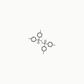 Cc1ccc(P(=O)(c2ccc(C)cc2)[C@H](C)[C@@H](C)P(=O)(c2ccc(C)cc2)c2ccc(C)cc2)cc1